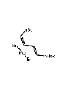 [Br][Mg][Br].[CH2]CCCCC/C=C/C=C\CCCC